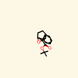 CC(C)(C)OC(=O)C12CCCCC1(c1ccccc1)O2